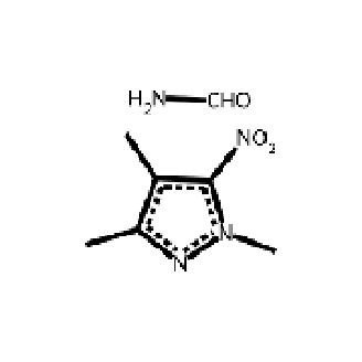 Cc1nn(C)c([N+](=O)[O-])c1C.NC=O